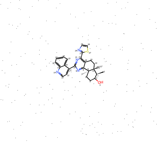 C[C@H]1C(O)CC[C@@]2(C)c3nc(-c4ccnc5ccccc45)nc(-c4nccs4)c3CC[C@H]12